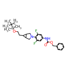 CC(C)(C)[Si](C)(C)OCCC1C2CN(c3c(F)cc(NC(=O)OCc4ccccc4)cc3F)CC12